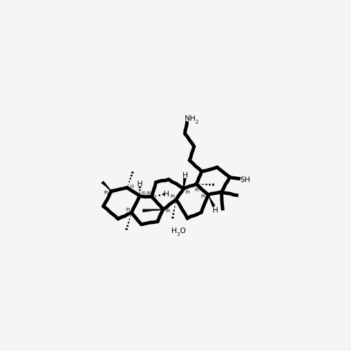 C[C@@H]1[C@H]2[C@H]3CC[C@@H]4[C@@]5(C)C(CCCN)CC(S)C(C)(C)[C@@H]5CC[C@@]4(C)[C@]3(C)CC[C@@]2(C)CC[C@H]1C.O